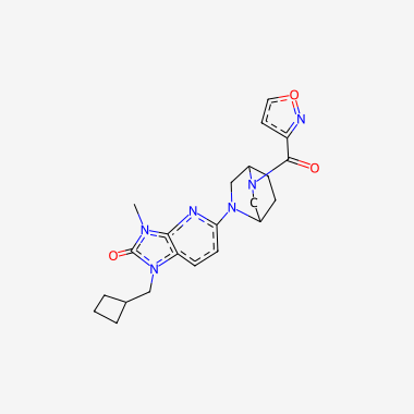 Cn1c(=O)n(CC2CCC2)c2ccc(N3CC4CCC3CN4C(=O)c3ccon3)nc21